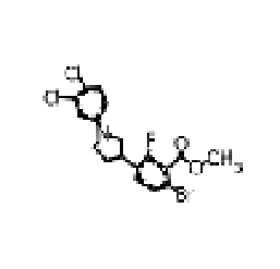 COC(=O)c1c(Br)ccc(C2CCN(c3ccc(Cl)c(Cl)c3)C2)c1F